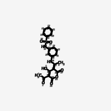 CC(=O)C1=C(O)C(=C(C)Nc2cccc(NS(=O)(=O)c3ccccc3)c2)C(=O)OC1=O